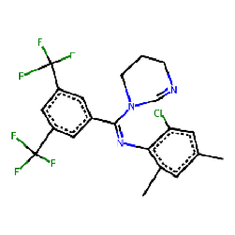 Cc1cc(C)c(N=C(c2cc(C(F)(F)F)cc(C(F)(F)F)c2)N2C=NCCC2)c(Cl)c1